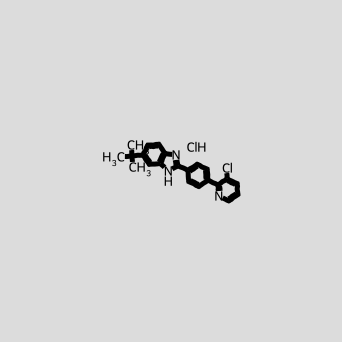 CC(C)(C)c1ccc2nc(-c3ccc(-c4ncccc4Cl)cc3)[nH]c2c1.Cl